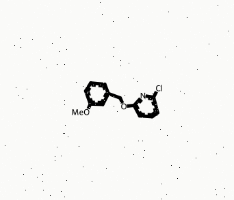 COc1cccc(COc2cccc(Cl)n2)c1